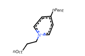 CCCCCCCCCC[n+]1ccc(CCCCC)cc1